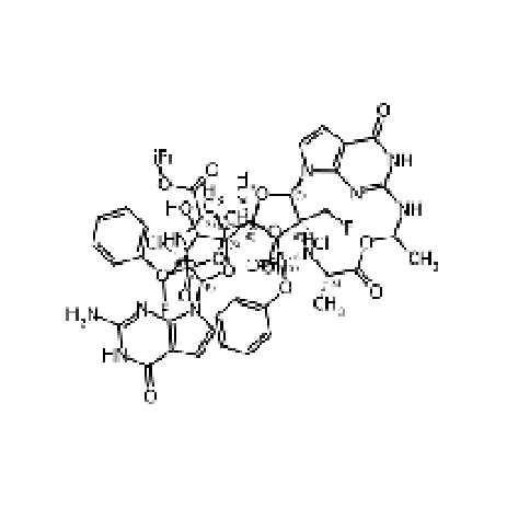 CC(C)OC(=O)[C@H](C)NP(=O)(Oc1ccccc1)O[C@@H](C)[C@H]1O[C@@H](n2ccc3c(=O)[nH]c(NC(C)OC(=O)[C@H](C)N[P@@](=O)(Oc4ccccc4)O[C@@H](C)[C@H]4O[C@@H](n5ccc6c(=O)[nH]c(N)nc65)[C@@](Cl)(CF)C4O)nc32)[C@@](Cl)(CF)C1O